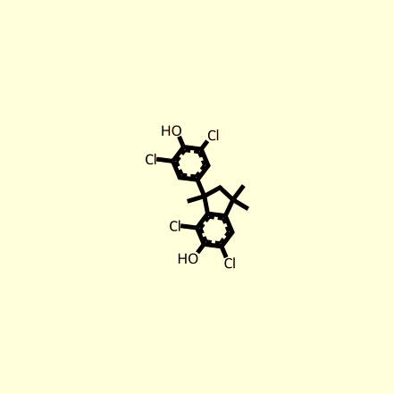 CC1(C)CC(C)(c2cc(Cl)c(O)c(Cl)c2)c2c1cc(Cl)c(O)c2Cl